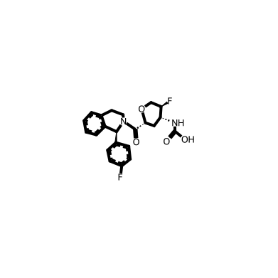 O=C(O)N[C@@H]1C[C@H](C(=O)N2CCc3ccccc3[C@@H]2c2ccc(F)cc2)OC[C@H]1F